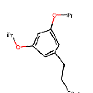 CCOC(=O)CCc1cc(OC(C)C)cc(OC(C)C)c1